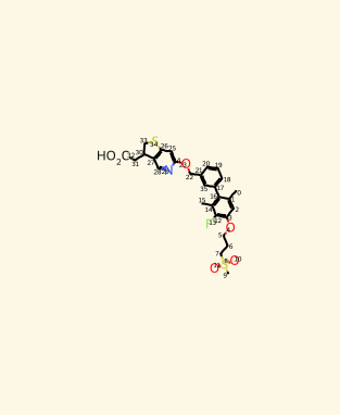 Cc1cc(OCCCS(C)(=O)=O)c(F)c(C)c1-c1cccc(COc2cc3c(cn2)C(CC(=O)O)CS3)c1